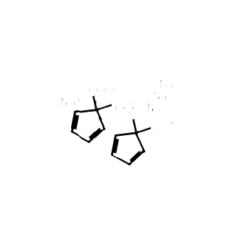 O=C([O-])C1(C(=O)[O-])C=CC=C1.O=C([O-])C1(C(=O)[O-])C=CC=C1.[Na+].[Na+].[Na+].[Na+]